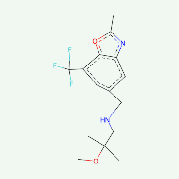 COC(C)(C)CNCc1cc(C(F)(F)F)c2oc(C)nc2c1